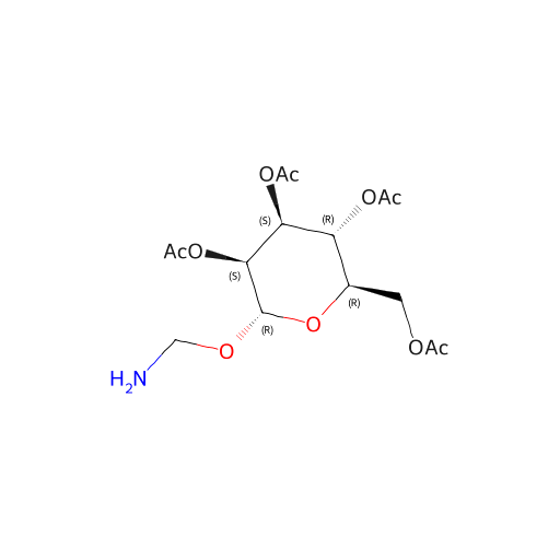 CC(=O)OC[C@H]1O[C@H](OCN)[C@@H](OC(C)=O)[C@@H](OC(C)=O)[C@@H]1OC(C)=O